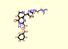 CN(C)CCNc1nc(-c2nccc3c(=O)[nH]c(COCc4ccccc4)nc23)cs1